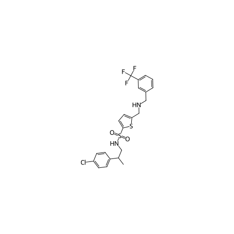 CC(CNS(=O)(=O)c1ccc(CNCc2cccc(C(F)(F)F)c2)s1)c1ccc(Cl)cc1